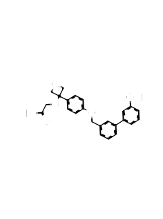 O=C(O)COC1(c2ccc(OCc3cccc(-c4cccc(O)c4)c3)cc2)COC1